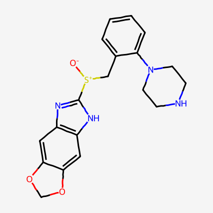 [O-][S+](Cc1ccccc1N1CCNCC1)c1nc2cc3c(cc2[nH]1)OCO3